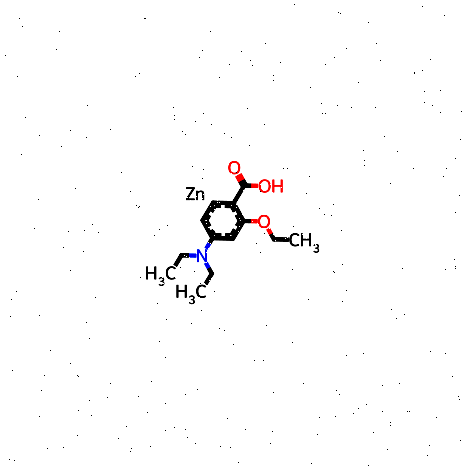 CCOc1cc(N(CC)CC)ccc1C(=O)O.[Zn]